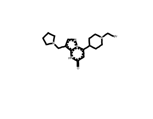 C[C](C)CN1CCC(c2cc(=O)[nH]c3c(CN4CCCC4)cnn23)CC1